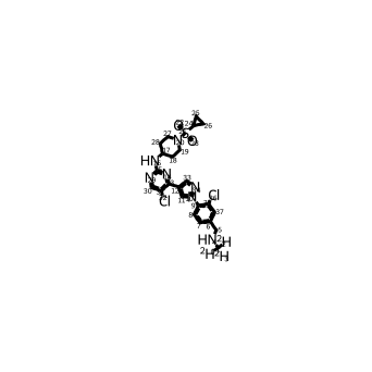 [2H]C([2H])([2H])NCc1ccc(-n2cc(-c3nc(NC4CCN(S(=O)(=O)C5CC5)CC4)ncc3Cl)cn2)c(Cl)c1